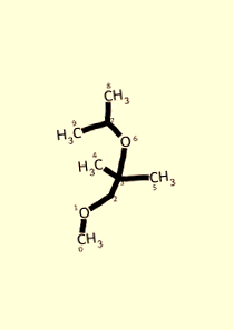 COCC(C)(C)OC(C)C